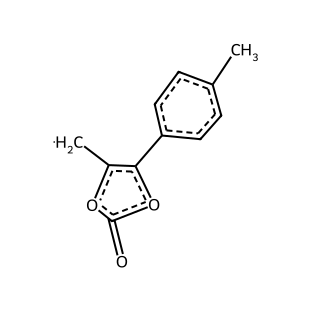 [CH2]c1oc(=O)oc1-c1ccc(C)cc1